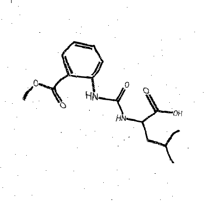 COC(=O)c1ccccc1NC(=O)NC(CC(C)C)C(=O)O